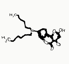 CCCCCCN(CCCCCC)c1ccc2c(c1)oc(=O)c1c(=O)cc(O)oc12